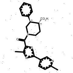 Cc1ccc(-c2nc(C)c(C(=O)N3CC[C@@H](C(=O)O)[C@H](c4ccccc4)C3)s2)cn1